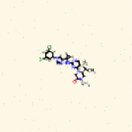 CC(C)[C@H]1CN(C)C(=O)CN1c1ccnc(NC2(c3cn(C4C=C(Br)C=C(Cl)C4)cn3)CC2)n1